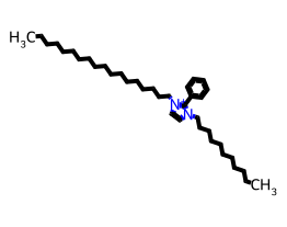 CCCCCCCCCCCCCCCCCC[n+]1ccn(CCCCCCCCCCC)c1-c1ccccc1